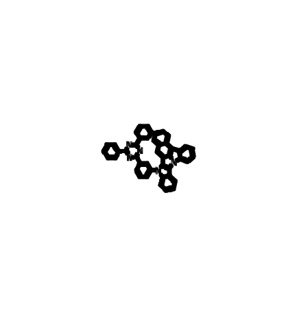 c1ccc(-c2nc(-c3ccccc3)nc(-c3cccc(-n4c5ccccc5c5c4c4cc6ccccc6c6c7ccccc7n5c46)c3)n2)cc1